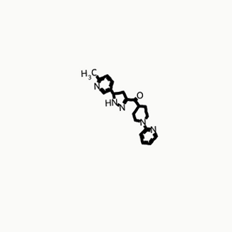 Cc1ccc(C2CC(C(=O)C3CCN(c4ccccn4)CC3)=NN2)cn1